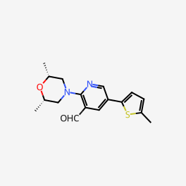 Cc1ccc(-c2cnc(N3C[C@@H](C)O[C@@H](C)C3)c(C=O)c2)s1